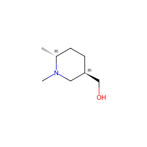 C[C@@H]1CC[C@@H](CO)CN1C